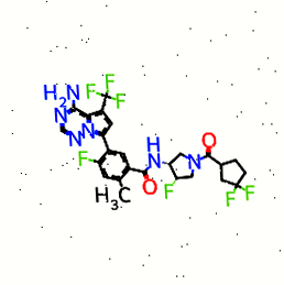 Cc1cc(F)c(-c2cc(C(F)(F)F)c3c(N)ncnn23)cc1C(=O)N[C@@H]1CN(C(=O)C2CCC(F)(F)C2)C[C@@H]1F